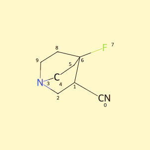 N#CC1CN2CCC1(F)CC2